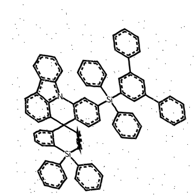 c1ccc(-c2cc(-c3ccccc3)cc([Si](c3ccccc3)(c3ccccc3)c3ccc4c(c3)-n3c5ccccc5c5cccc(c53)C43c4ccccc4[Si](c4ccccc4)(c4ccccc4)c4ccccc43)c2)cc1